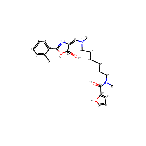 Cc1ccccc1C1=NC(=CN(C)CCCCCCN(C)C(=O)c2ccco2)C(=O)O1